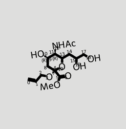 C=CCO[C@]1(C(=O)OC)C[C@@H](O)[C@@H](NC(C)=O)C(CC(O)CO)O1